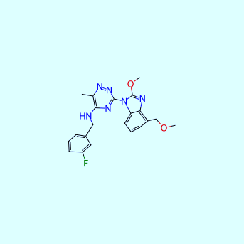 COCc1cccc2c1nc(OC)n2-c1nnc(C)c(NCc2cccc(F)c2)n1